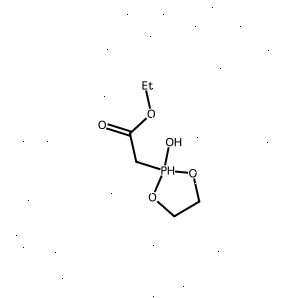 CCOC(=O)C[PH]1(O)OCCO1